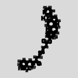 C[C@]12CC[C@H](OC(=O)CCSSCCC(=O)N(CC(=O)O)Cc3ccccc3)CC1=CCC1[C@@H]2CC[C@]2(C)C(c3cccnc3)=CC[C@@H]12